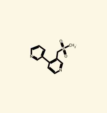 [CH2]S(=O)(=O)Cc1cnccc1-c1cccnc1